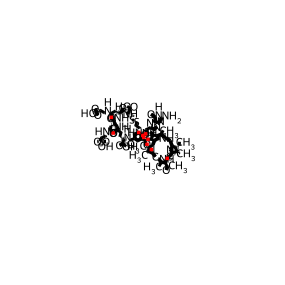 CC[C@H]1c2cc3[nH]c4c(c3C)C(=O)C(C(=O)OC)c4c3nc(cc4[nH]c(cc(n2)[C@@H]1C)c(C(C)=O)c4C)[C@@H](C)[C@@H]3CCCC(=O)NCCSSC[C@H](NC(=O)[C@H](CC(=O)NCCS(=O)(=O)O)NC(=O)[C@H](CC(=O)NCCS(=O)(=O)O)NC(=O)CC[C@H](NC(=O)c1ccc(NCc2cnc3nc(N)[nH]c(=O)c3n2)cc1)C(=O)O)C(=O)O